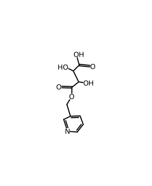 O=C(O)C(O)C(O)C(=O)OCc1cccnc1